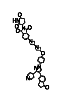 O=C1CCC(N2C(=O)c3ccc(N4CC(N5CC(Oc6ccc(-n7cc(-c8ccc9c(c8)CCC9=O)c(-c8ccncc8)n7)cc6)C5)C4)cc3C2=O)C(=O)N1